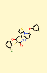 O=C1CC(c2ccsc2)(c2cccc(Oc3cc(F)cc(F)c3)n2)NC(=O)C1Sc1ccccc1Cl